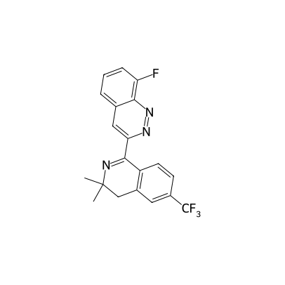 CC1(C)Cc2cc(C(F)(F)F)ccc2C(c2cc3cccc(F)c3nn2)=N1